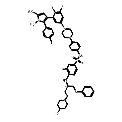 Cc1cc(S(=O)(=O)Nc2ccc(N3CCN(c4cc(F)c(F)c(-c5cc(C)n(C)c5-c5ccc(Cl)cc5)c4)CC3)cc2)ccc1N[C@H](CCN1CCC(O)CC1)CSc1ccccc1